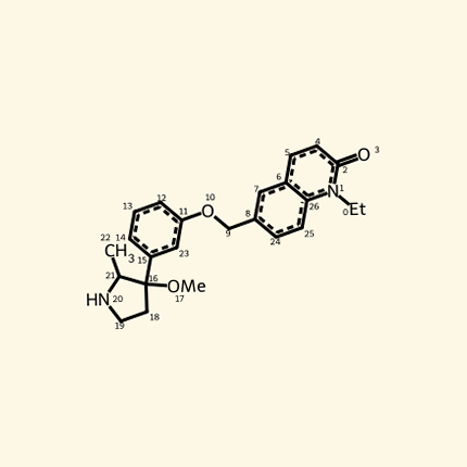 CCn1c(=O)ccc2cc(COc3cccc(C4(OC)CCNC4C)c3)ccc21